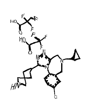 Clc1ccc2c(c1)CN(C1CC1)Cc1nnc(C3CC4(CNC4)C3)n1-2.O=C(O)C(F)(F)F.O=C(O)C(F)(F)F